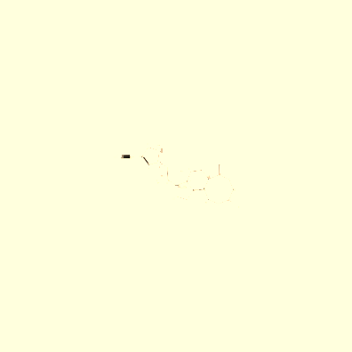 CC1CCC(C)C2CC[C@@]3(C)C(CC[C@@H]3[C@@H](C)CN3C=C(C#N)CN3)C2CC1